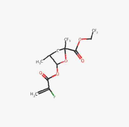 C=C(F)C(=O)OC1OC(C(=O)OCC(F)(F)F)(C(F)(F)F)CC1C